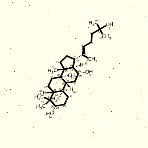 C/C(=C\CCC(C)(C)O)[C@H]1CC[C@]2(C)[C@@H]1[C@H](O)C[C@@H]1[C@@]3(C)CC[C@H](O)C(C)(C)[C@@H]3CC[C@]12C